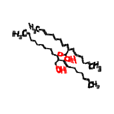 CCCCCCCCC(CCCCCC)C(=O)O.CCCCCCCCCCC(CO)CCCCCCCC